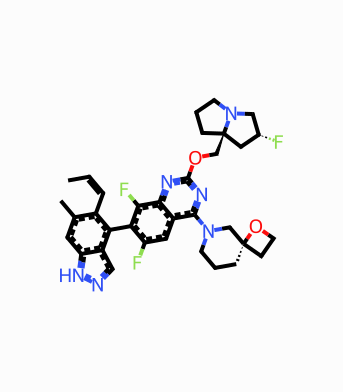 C/C=C\c1c(C)cc2[nH]ncc2c1-c1c(F)cc2c(N3CCC[C@]4(CCO4)C3)nc(OC[C@@]34CCCN3C[C@H](F)C4)nc2c1F